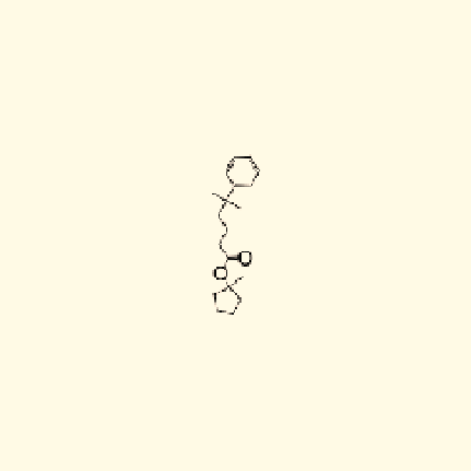 CC1(OC(=O)CCCC(C)(C)c2ccccc2)CCCC1